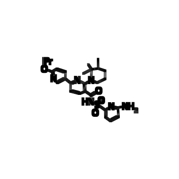 CC(C)Oc1ccc(-c2ccc(C(=O)NS(=O)(=O)c3cccc(N)n3)c(N3CCCC(C)C3(C)C)n2)cn1